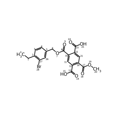 CCc1ccc(COC(=O)c2cc(C(=O)O)c(C(=O)OC)cc2C(=O)O)cc1Br